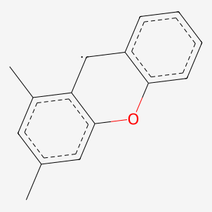 Cc1cc(C)c2c(c1)Oc1ccccc1[CH]2